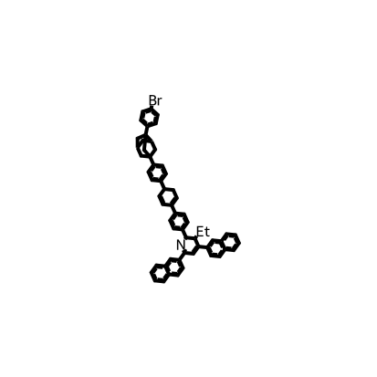 CCC1C(c2ccc3ccccc3c2)=CC(c2ccc3ccccc3c2)=NC1c1ccc(C2=CCC(c3ccc(C45CC6CC(C4)C(c4ccc(Br)cc4)(C6)C5)cc3)C=C2)cc1